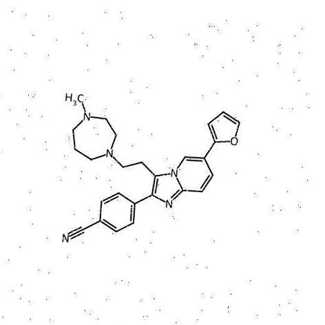 CN1CCCN(CCc2c(-c3ccc(C#N)cc3)nc3ccc(-c4ccco4)cn23)CC1